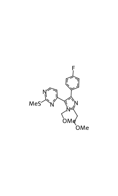 COCCc1nc(-c2ccc(F)cc2)c(-c2ccnc(SC)n2)n1COC